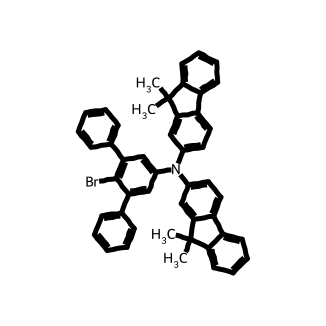 CC1(C)c2ccccc2-c2ccc(N(c3cc(-c4ccccc4)c(Br)c(-c4ccccc4)c3)c3ccc4c(c3)C(C)(C)c3ccccc3-4)cc21